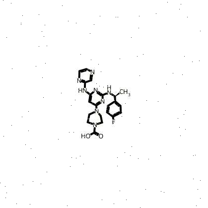 C[C@H](Nc1nc(Nc2cnccn2)cc(N2CCN(C(=O)O)CC2)n1)c1ccc(F)cc1